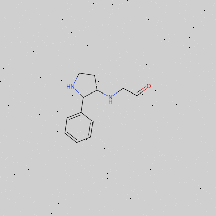 O=CCNC1CCNC1c1ccccc1